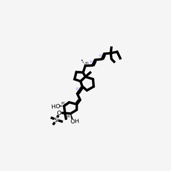 CCC(C)(/C=C/C=C/[C@@H](C)C1CCC2/C(=C/C=C3C[C@@H](O)C(C)(O[Si](C)(C)C)[C@H](O)C3)CCCC21C)CC